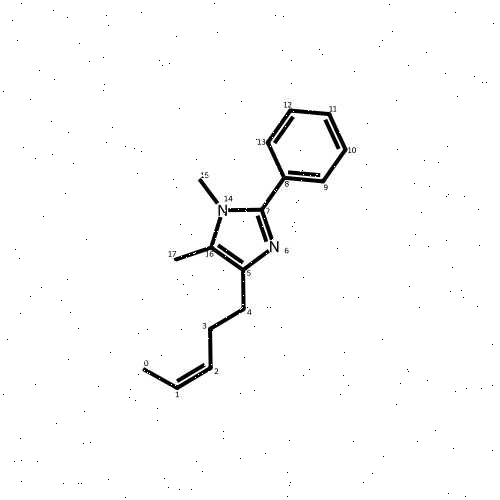 C/C=C\CCc1nc(-c2ccccc2)n(C)c1C